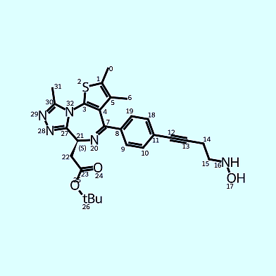 Cc1sc2c(c1C)C(c1ccc(C#CCCNO)cc1)=N[C@@H](CC(=O)OC(C)(C)C)c1nnc(C)n1-2